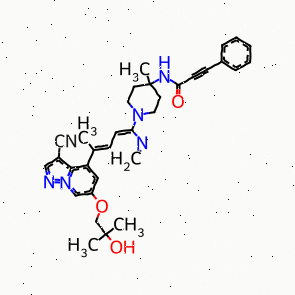 C=N/C(=C\C=C(/C)c1cc(OCC(C)(C)O)cn2ncc(C#N)c12)N1CCC(C)(NC(=O)C#Cc2ccccc2)CC1